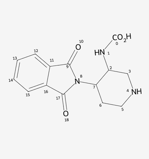 O=C(O)NC1CNCCC1N1C(=O)c2ccccc2C1=O